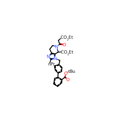 CCCc1nc2c(n1Cc1ccc(-c3ccccc3C(=O)OC(C)(C)C)cc1)C(C(=O)OCC)N(C(=O)CC(=O)OCC)CC2